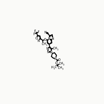 Cc1c(-c2cc(OC(C)c3cc(C(F)(F)F)on3)n3c(C#N)cnc3c2)nnn1C1CCN(C(=O)OC(C)(C)C)CC1